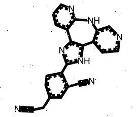 N#CCc1ccc(-c2nc3c([nH]2)-c2ccncc2Nc2ncccc2-3)c(C#N)c1